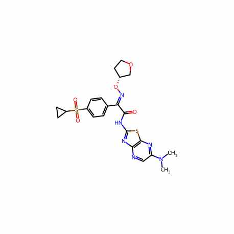 CN(C)c1cnc2nc(NC(=O)/C(=N/O[C@@H]3CCOC3)c3ccc(S(=O)(=O)C4CC4)cc3)sc2n1